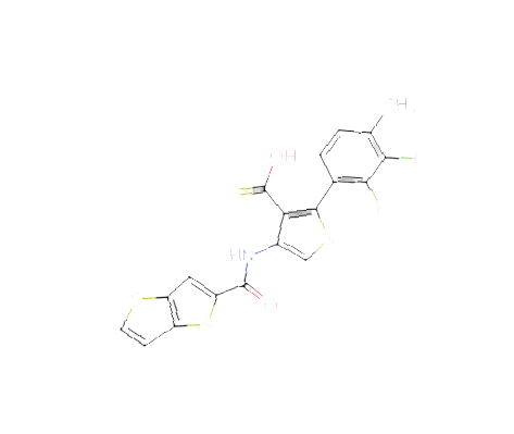 Cc1ccc(-c2scc(NC(=O)c3cc4sccc4s3)c2C(O)=S)c(F)c1F